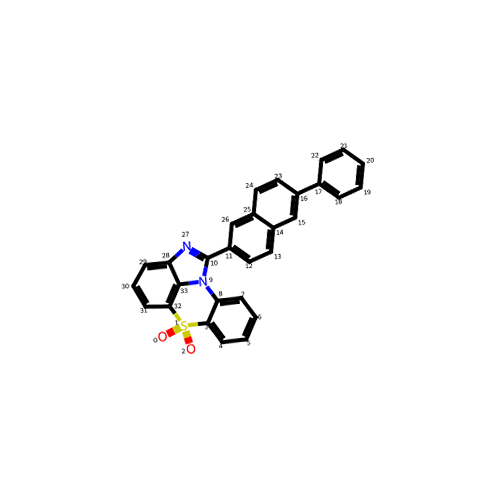 O=S1(=O)c2ccccc2-n2c(-c3ccc4cc(-c5ccccc5)ccc4c3)nc3cccc1c32